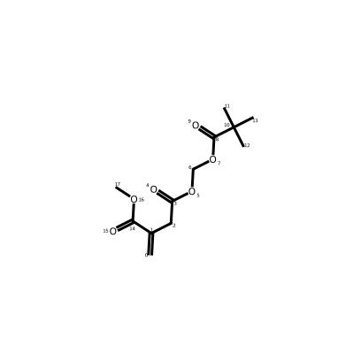 C=C(CC(=O)OCOC(=O)C(C)(C)C)C(=O)OC